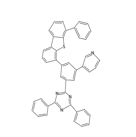 c1ccc(-c2nc(-c3ccccc3)nc(-c3cc(-c4cccnc4)cc(-c4cccc5c4sc4c(-c6ccccc6)cccc45)c3)n2)cc1